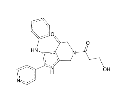 O=C1CN(C(=O)CCO)Cc2[nH]c(-c3ccncc3)c(Nc3ccccc3)c21